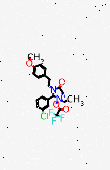 CC[N+]1(OC(=O)C(F)(F)F)CC(=O)N(CCc2ccc(OC)cc2)C1c1cccc(Cl)c1